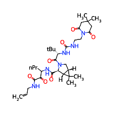 C=CCNC(=O)C(=O)C(CCC)NC(=O)[C@@H]1[C@@H]2[C@H](CN1C(=O)[C@@H](NC(=O)NCCN1C(=O)CC(C)(C)CC1=O)C(C)(C)C)C2(C)C